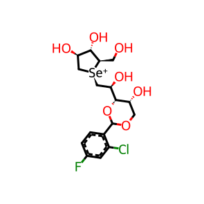 OC[C@@H]1[C@@H](O)[C@H](O)C[Se@+]1C[C@@H](O)[C@H]1OC(c2ccc(F)cc2Cl)OC[C@H]1O